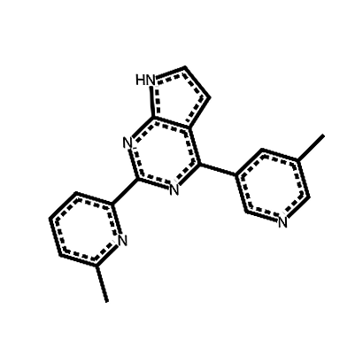 Cc1cncc(-c2nc(-c3cccc(C)n3)nc3[nH]ccc23)c1